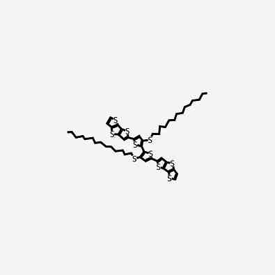 CCCCCCCCCCCCCCSc1cc(-c2cc3sc4ccsc4c3s2)sc1-c1sc(-c2cc3sc4ccsc4c3s2)cc1SCCCCCCCCCCCCCC